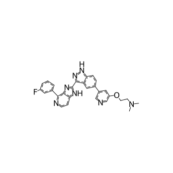 CN(C)CCOc1cncc(-c2ccc3[nH]nc(-c4nc5c(-c6cccc(F)c6)nccc5[nH]4)c3c2)c1